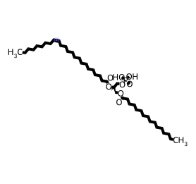 CCCCCCCC/C=C\CCCCCCCCCCCCCC(=O)O[C@H](COC(=O)CCCCCCCCCCCCCCC)COP(=O)(O)O